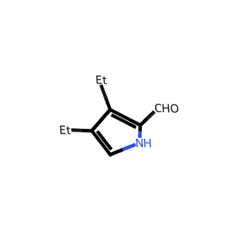 CCc1c[nH]c(C=O)c1CC